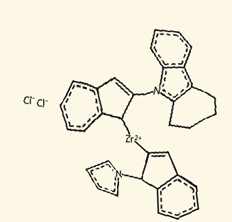 C1=[C]([Zr+2][CH]2C(n3c4c(c5ccccc53)CCCC4)=Cc3ccccc32)C(n2cccc2)c2ccccc21.[Cl-].[Cl-]